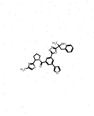 Cc1csc(C2CCCN2C(=O)c2cc(-c3ccoc3)cc(-c3nnc(C(C)(N)Cc4ccccc4)o3)c2)n1